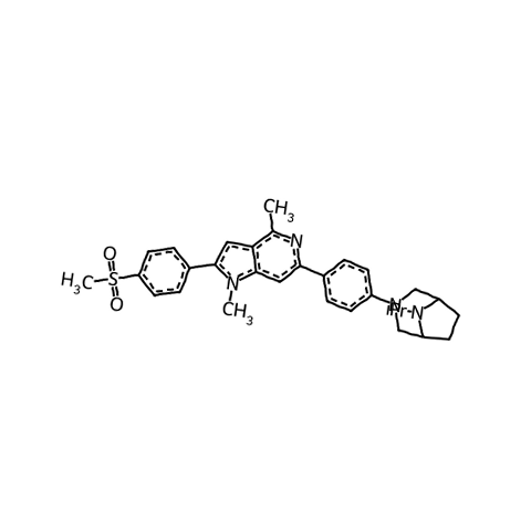 Cc1nc(-c2ccc(N3CC4CCC(C3)N4C(C)C)cc2)cc2c1cc(-c1ccc(S(C)(=O)=O)cc1)n2C